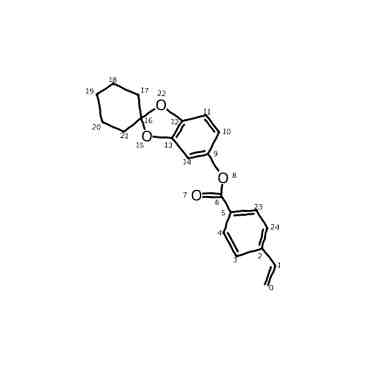 C=Cc1ccc(C(=O)Oc2ccc3c(c2)OC2(CCCCC2)O3)cc1